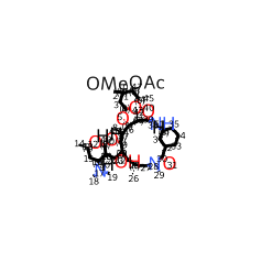 CO[C@]1(C)C[C@H](O[C@H]2[C@H](C)[C@H]3O[C@@H]4O[C@H](C)C[C@H](N(C)C)[C@H]4C[C@@]3(O)C[C@@H](C)CN(C)C(=O)C3CCC[C@@H](C3)NC(=O)[C@@H]2C)O[C@@H](C)[C@@H]1OC(C)=O